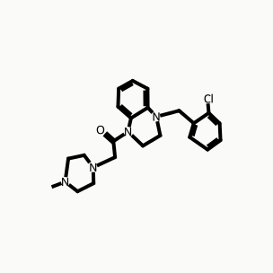 CN1CCN(CC(=O)N2CCN(Cc3ccccc3Cl)c3ccccc32)CC1